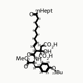 CCCCCCCC(=O)CCCCCCC=C[C@H](C(=O)N[C@@H](Cc1ccc(OC(C)CC)cc1)C(=O)OC)[C@@](O)(CC(=O)O)C(=O)O